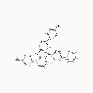 Cc1ccc(-c2ccc(O)c(C(c3ccc(-c4ccccc4)cc3)c3cc(-c4ccc(O)cc4)ccc3O)c2)cc1